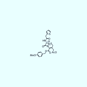 COc1ccc(COC(=O)C2=C(COC(C)=O)CS[C@H]3[C@@H](NC(=O)Cc4cccs4)C(=O)N23)cc1